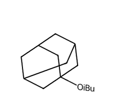 CC(C)COC12CC3CC(CC(C3)C1)C2